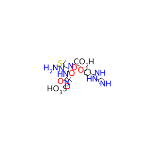 Cc1sc(N)nc1/C(=N/O[C@@H](COc1ccc(C(=N)N[C@H]2CCNC2)cc1)C(=O)O)C(=O)N[C@@H]1C(=O)N(OS(=O)(=O)O)C1(C)C